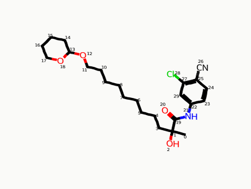 CC(O)(CCCCCCCCCOC1CCCCO1)C(=O)Nc1ccc(C#N)c(Cl)c1